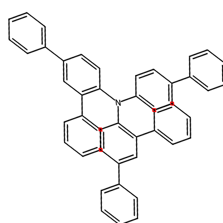 c1ccc(-c2ccc(N(c3ccc(-c4ccccc4)cc3-c3ccccc3)c3ccc(-c4ccccc4)cc3-c3ccccc3)cc2)cc1